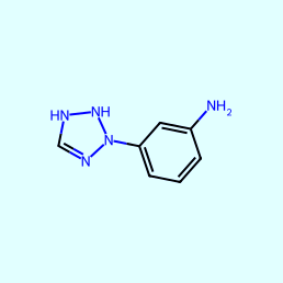 Nc1cccc(N2N=CNN2)c1